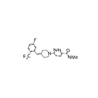 CNC(=O)c1ccc(N2CCC(=Cc3cc(F)ccc3C(F)(F)F)CC2)nn1